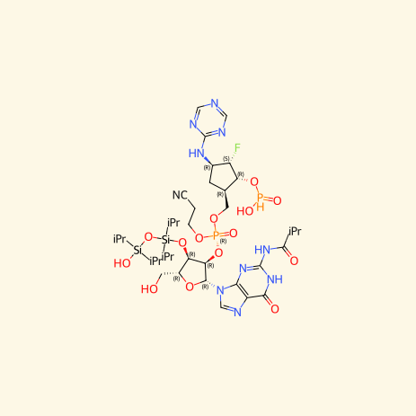 CC(C)C(=O)Nc1nc2c(ncn2[C@@H]2O[C@H](CO)[C@@H](O[Si](O[Si](O)(C(C)C)C(C)C)(C(C)C)C(C)C)[C@H]2O[P@](=O)(OCCC#N)OC[C@H]2C[C@@H](Nc3ncncn3)[C@H](F)[C@@H]2O[PH](=O)O)c(=O)[nH]1